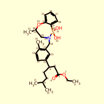 CCOC(=O)CC(CCC(C)C)c1ccc(C)c(CN2C[C@@H](C)Oc3ccccc3S2(O)O)c1